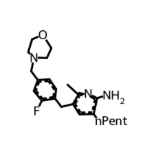 CCCCCc1cc(Cc2ccc(CN3CCOCC3)cc2F)c(C)nc1N